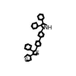 c1ccc(-c2c[nH]c(-c3ccc(-c4ccc(-c5scc(-c6ccccc6)c5-c5ccccc5)cc4)cc3)c2-c2ccccc2)cc1